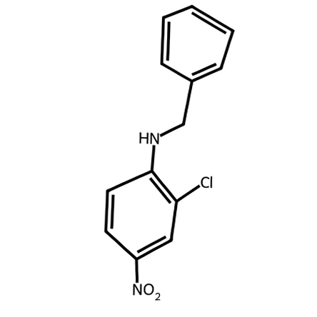 O=[N+]([O-])c1ccc(NCc2ccccc2)c(Cl)c1